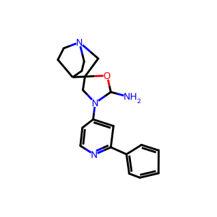 NC1OC2(CN3CCC2CC3)CN1c1ccnc(-c2ccccc2)c1